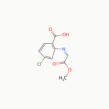 COC(=O)/C=N\c1cc(Cl)ccc1C(=O)O